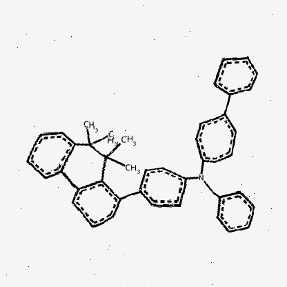 CC1(C)c2ccccc2-c2cccc(-c3ccc(N(c4ccccc4)c4ccc(-c5ccccc5)cc4)cc3)c2C1(C)C